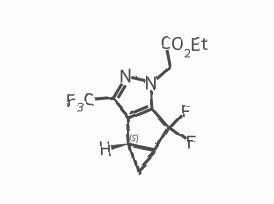 CCOC(=O)Cn1nc(C(F)(F)F)c2c1C(F)(F)C1C[C@H]21